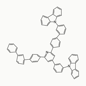 c1ccc(-c2cccc(-c3ccc(-c4cc(-c5cccc(-n6c7ccccc7c7ccccc76)c5)cc(-c5ccc(-c6cccc(-n7c8ccccc8c8ccccc87)c6)cc5)n4)cc3)c2)cc1